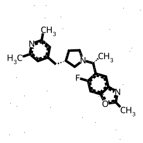 Cc1cc(C[C@@H]2CCN([C@H](C)c3cc4nc(C)oc4cc3F)C2)cc(C)n1